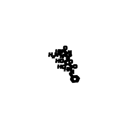 Nc1nc2c(ncn2C2OC(C(=O)NN=Cc3ccccc3)C(O)C2O)c(=O)[nH]1